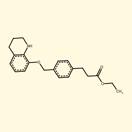 CCOC(=O)CCc1ccc(COc2cccc3c2NCCC3)cc1